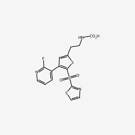 O=C(O)NCCc1cc(-c2cccnc2F)c(S(=O)(=O)c2nccs2)s1